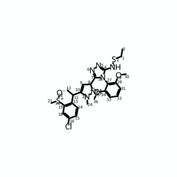 CCSNc1nnc(C2C=C(C(C)c3ccc(Cl)cc3[S+](C)[O-])N(C)N2)n1-c1c(OC)cccc1OC